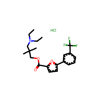 CCN(CC)CC(C)(C)COC(=O)c1ccc(-c2cccc(C(F)(F)F)c2)o1.Cl